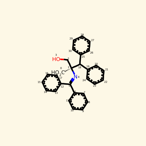 O=C(O)[C@@](CO)(N=C(c1ccccc1)c1ccccc1)C(c1ccccc1)c1ccccc1